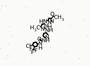 CC(=O)c1cc(Nc2cc(C)nc(Nc3ccc(NC(=O)Nc4ccc(Cl)c(C(F)(F)F)c4)nc3)n2)[nH]n1